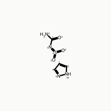 NC(=O)N=S(=O)=O.c1cn[nH]c1